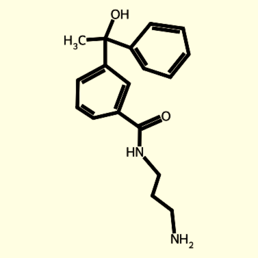 CC(O)(c1ccccc1)c1cccc(C(=O)NCCCN)c1